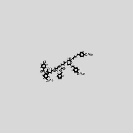 COc1ccc(CSCCNC(=O)CN(CCCN(CCCNC(=O)Cc2c(C)n(C(=O)c3ccc(Cl)cc3)c3ccc(OC)cc23)C(=O)OCc2ccccc2)CCSCc2ccc(OC)cc2)cc1